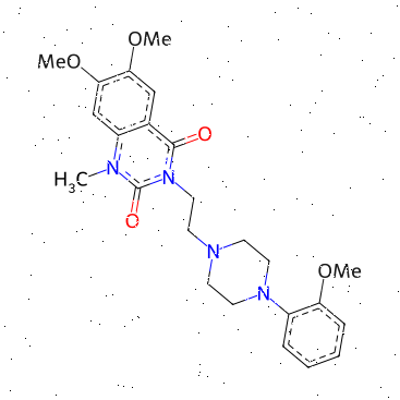 COc1cc2c(=O)n(CCN3CCN(c4ccccc4OC)CC3)c(=O)n(C)c2cc1OC